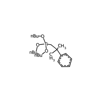 CCCC[O][Ti]([CH2]C(C)(C)c1ccccc1)([O]CCCC)[O]CCCC